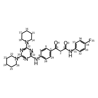 O=C(CC(=O)c1ccc(Nc2nc(N3CCCCC3)nc(N3CCCCC3)n2)cc1)Nc1ccc(F)cc1